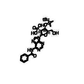 CC(C)(C)[Si](C)(C)O[C@H]1[C@@H](P(=O)(O)O)[C@H](n2cnc3c(NC(=O)c4ccccc4)ncnc32)O[C@@H]1CO